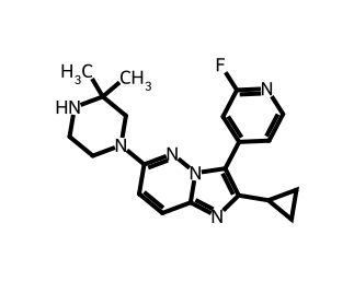 CC1(C)CN(c2ccc3nc(C4CC4)c(-c4ccnc(F)c4)n3n2)CCN1